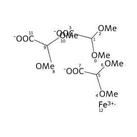 COC(OC)C(=O)[O-].COC(OC)C(=O)[O-].COC(OC)C(=O)[O-].[Fe+3]